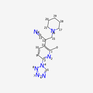 Cc1nc(-n2cnnn2)ccc1C(C#N)CN1CCCCC1